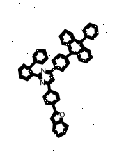 c1ccc(-c2ccccc2-c2nc(-c3ccc(-c4cc5ccccc5o4)cc3)cc(-c3ccc(-c4c5ccccc5c(-c5ccccc5)c5ccccc45)cc3)n2)cc1